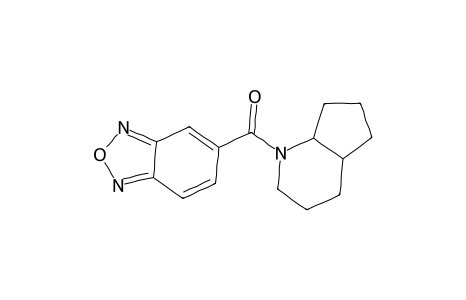 O=C(c1ccc2nonc2c1)N1CCCC2CCCC21